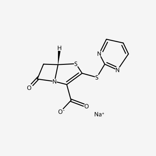 O=C([O-])C1=C(Sc2ncccn2)S[C@H]2CC(=O)N12.[Na+]